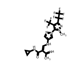 CC(=N)/C(=C\Nc1cnn(-c2c(C(F)(F)F)c(C(F)(F)C(F)(F)F)nn2C)c1)C(=O)NC1CC1